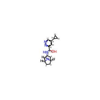 CN1[C@@H]2CC[C@H]1C[C@H](NC(O)c1cc(C3CC3)cnn1)C2